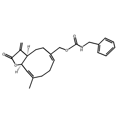 C=C1C(=O)O[C@@H]2C=C(C)CCC=C(COC(=O)NCc3ccccc3)CC[C@H]12